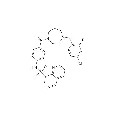 O=C(c1ccc(NS(=O)(=O)C2CC=Cc3cccnc32)cc1)N1CCCN(Cc2ccc(Cl)cc2F)CC1